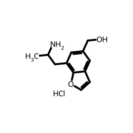 CC(N)Cc1cc(CO)cc2ccoc12.Cl